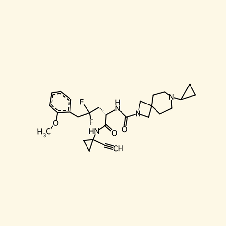 C#CC1(NC(=O)[C@H](CC(F)(F)Cc2ccccc2OC)NC(=O)N2CC3(CCN(C4CC4)CC3)C2)CC1